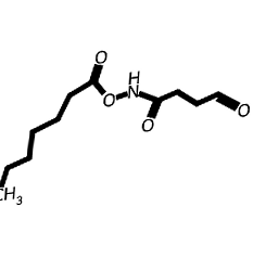 CCCCCCC(=O)ONC(=O)CCC=O